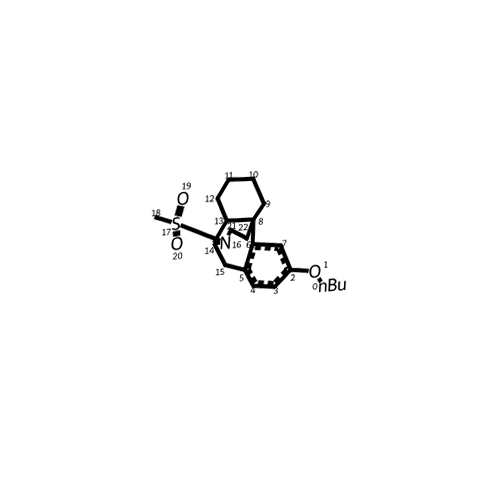 CCCCOc1ccc2c(c1)C13CCCCC1C(C2)N(S(C)(=O)=O)CC3